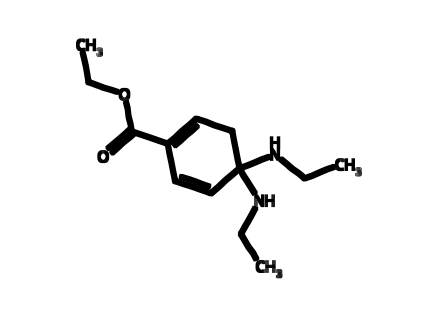 CCNC1(NCC)C=CC(C(=O)OCC)=CC1